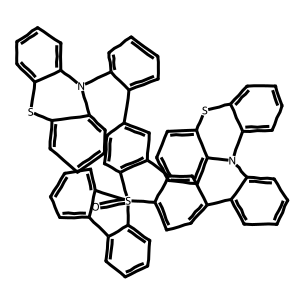 O=S12(c3ccccc3-c3ccccc31)c1ccc(-c3ccccc3N3c4ccccc4Sc4ccccc43)cc1-c1cc(-c3ccccc3N3c4ccccc4Sc4ccccc43)ccc12